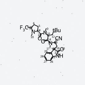 CN(C(=O)[C@@H]1CC[C@H](C(F)(F)F)N1C)[C@@H](CC(C)(C)C)C(=O)N1C[C@]2(C[C@H]1C#N)C(=O)Nc1ccccc12